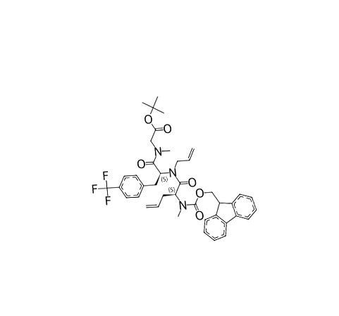 C=CC[C@@H](C(=O)N(CC=C)[C@@H](Cc1ccc(C(F)(F)F)cc1)C(=O)N(C)CC(=O)OC(C)(C)C)N(C)C(=O)OCC1c2ccccc2-c2ccccc21